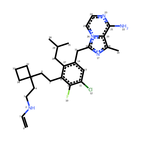 C=CNCCC1(CCc2c(F)c(Cl)cc(Cc3nc(C)c4c(N)nccn34)c2CC(C)C)CCC1